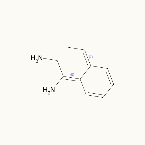 C/C=c1/cccc/c1=C(\N)CN